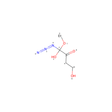 CCOC(O)(N=[N+]=[N-])C(=O)CCO